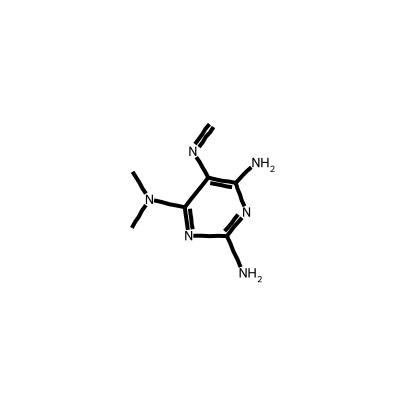 C=Nc1c(N)nc(N)nc1N(C)C